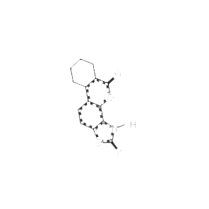 Cn1c(=O)oc2ccc3c4c(c(=O)oc3c21)CCCC4